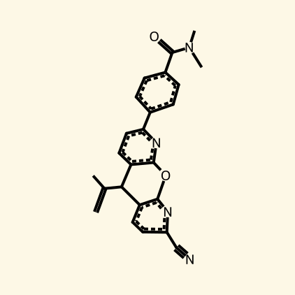 C=C(C)C1c2ccc(C#N)nc2Oc2nc(-c3ccc(C(=O)N(C)C)cc3)ccc21